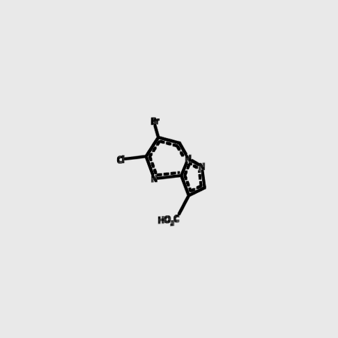 O=C(O)c1cnn2cc(Br)c(Cl)nc12